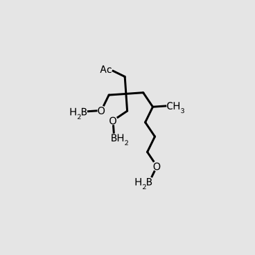 BOCCCC(C)CC(COB)(COB)CC(C)=O